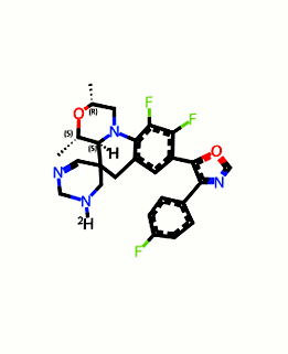 [2H]N1CN=CC2(Cc3cc(-c4ocnc4-c4ccc(F)cc4)c(F)c(F)c3N3C[C@@H](C)O[C@@H](C)[C@@H]32)C1